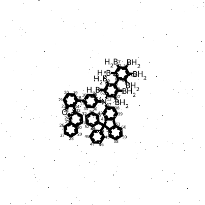 Bc1c(B)c(B)c(-c2c(B)c(B)c(N(c3ccc(-c4cccc5oc6c7ccccc7ccc6c45)cc3)c3ccc4c(c3)C(c3ccccc3)(c3ccccc3)c3ccccc3-4)c(B)c2B)c(B)c1B